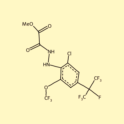 COC(=O)C(=O)NNc1c(Cl)cc(C(F)(C(F)(F)F)C(F)(F)F)cc1OC(F)(F)F